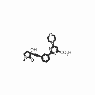 CN1CC[C@@](O)(C#Cc2cccc(-c3nc(C(=O)O)cc(N4CCOCC4)n3)c2)C1=O